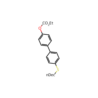 CCCCCCCCCCSc1ccc(-c2ccc(OC(=O)OCC)cc2)cc1